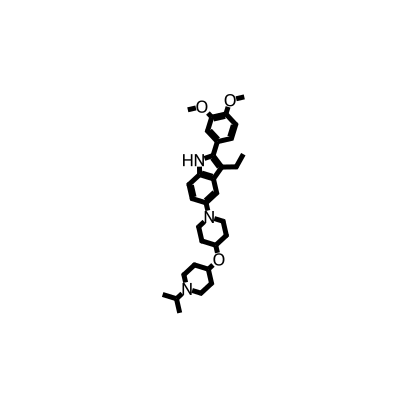 CCc1c(-c2ccc(OC)c(OC)c2)[nH]c2ccc(N3CCC(OC4CCN(C(C)C)CC4)CC3)cc12